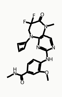 CNC(=O)c1ccc(Nc2ncc3c(n2)N(C2=CC=C2)CC(F)(F)C(=O)N3C)c(OC)c1